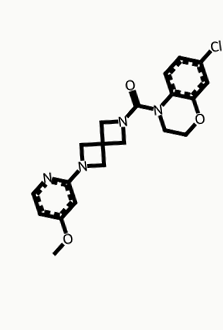 COc1ccnc(N2CC3(CN(C(=O)N4CCOc5cc(Cl)ccc54)C3)C2)c1